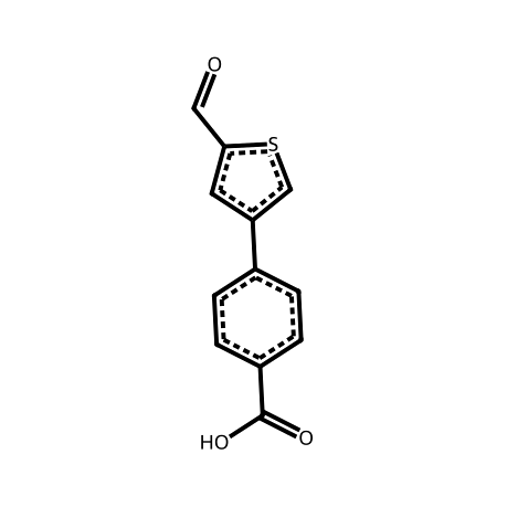 O=Cc1cc(-c2ccc(C(=O)O)cc2)cs1